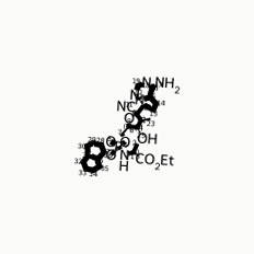 CCOC(=O)[C@H](C)NP(=O)(OC[C@H]1O[C@@](C#N)(c2ccc3c(N)ncnn23)[C@@H](C)[C@@H]1O)Oc1cccc2ccccc12